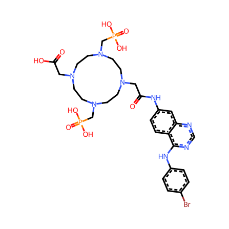 O=C(O)CN1CCN(CP(=O)(O)O)CCN(CC(=O)Nc2ccc3c(Nc4ccc(Br)cc4)ncnc3c2)CCN(CP(=O)(O)O)CC1